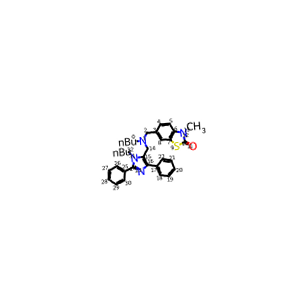 CCCCN(Cc1ccc2c(c1)sc(=O)n2C)Cc1c(-c2ccccc2)nc(-c2ccccc2)n1CCCC